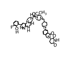 CC1(C)CN(CC2CCN(c3ccc4c(c3)C(=O)N([C@@H]3CCC(=O)NC3=O)C4)CC2)CCN1C(=O)N1CCN2c3cc(-c4cccc(F)c4O)nnc3NC[C@H]2C1